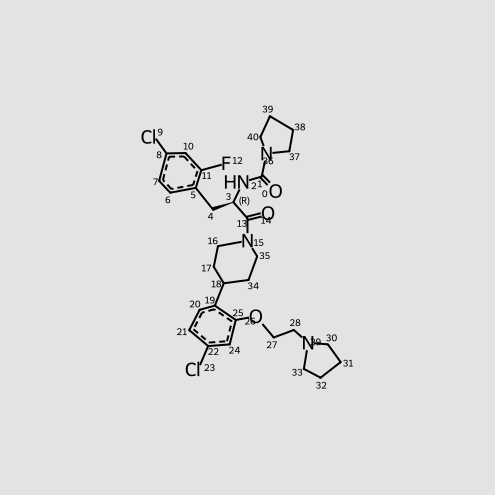 O=C(N[C@H](Cc1ccc(Cl)cc1F)C(=O)N1CCC(c2ccc(Cl)cc2OCCN2CCCC2)CC1)N1CCCC1